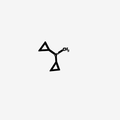 C[N+](C1CC1)C1CC1